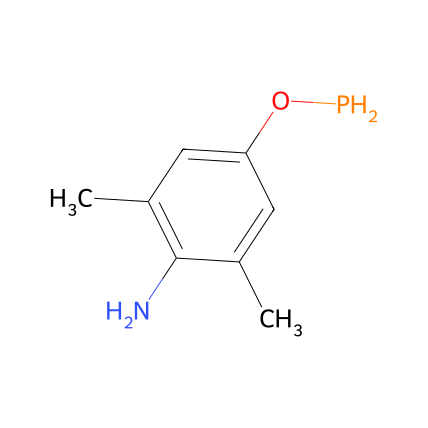 Cc1cc(OP)cc(C)c1N